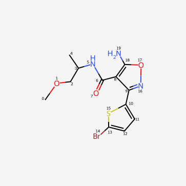 COCC(C)NC(=O)c1c(-c2ccc(Br)s2)noc1N